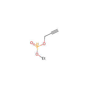 C#CCO[PH](=O)OCC